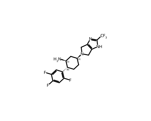 N[C@H]1C[C@@H](N2Cc3nc(C(F)(F)F)[nH]c3C2)CC[C@@H]1c1cc(F)c(F)cc1F